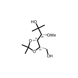 CO[C@H]([C@H]1OC(C)(C)O[C@H]1CO)C(C)(C)O